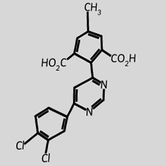 Cc1cc(C(=O)O)c(-c2cc(-c3ccc(Cl)c(Cl)c3)ncn2)c(C(=O)O)c1